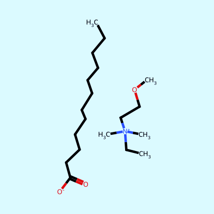 CCCCCCCCCCCC(=O)[O-].CC[N+](C)(C)CCOC